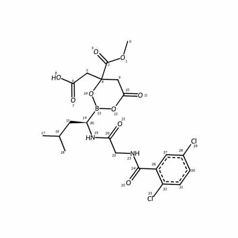 COC(=O)C1(CC(=O)O)CC(=O)OB([C@H](CC(C)C)NC(=O)CNC(=O)c2cc(Cl)ccc2Cl)O1